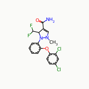 CN1C=C(C(N)=O)C(C(F)F)N1c1ccccc1Oc1ccc(Cl)cc1Cl